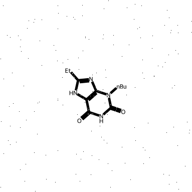 CCCCn1c(=O)[nH]c(=O)c2[nH]c(CC)nc21